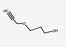 C#CCOCCCO